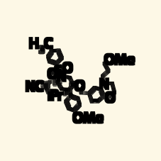 COCCCN1CCOc2ccc(CO[C@H]3CN(S(=O)(=O)c4ccc(C)cc4)[C@@H](C[C@H](C#N)C(C)C)C[C@@H]3c3ccc(OC)cc3)cc21